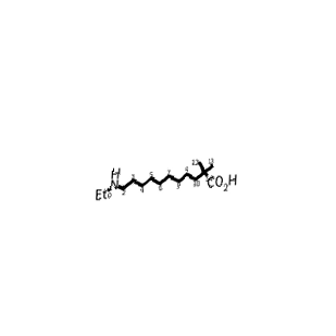 CCNCCCCCCCCCC(C)(C)C(=O)O